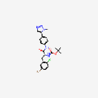 Cn1nncc1-c1ccc(NC(=O)C(Cc2cc(Br)ccc2Cl)NC(=O)OC(C)(C)C)cc1